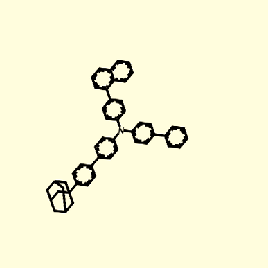 c1ccc(-c2ccc(N(c3ccc(-c4ccc(C56CC7CC(CC(C7)C5)C6)cc4)cc3)c3ccc(-c4cccc5ccccc45)cc3)cc2)cc1